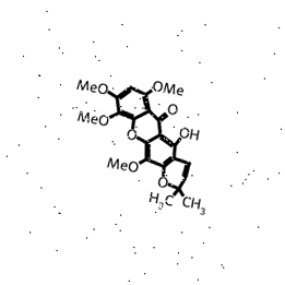 COc1cc(OC)c2c(=O)c3c(O)c4c(c(OC)c3oc2c1OC)OC(C)(C)C=C4